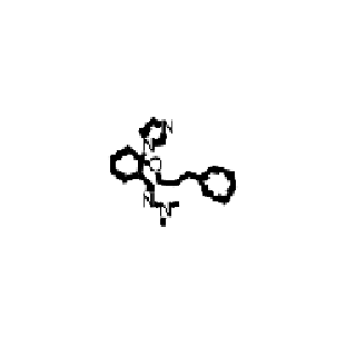 CN(C)N=CC1C=CC=CC1(OCCCc1ccccc1)n1ccnc1